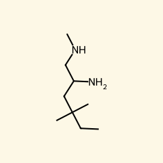 CCC(C)(C)CC(N)CNC